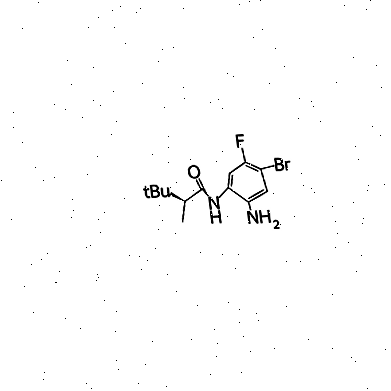 C[C@H](C(=O)Nc1cc(F)c(Br)cc1N)C(C)(C)C